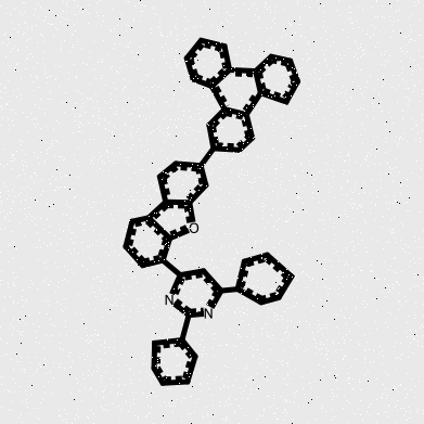 c1ccc(-c2cc(-c3cccc4c3oc3cc(-c5ccc6c7ccccc7c7ccccc7c6c5)ccc34)nc(-c3ccccc3)n2)cc1